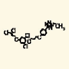 CCn1nnc(-c2ccc(OCCCOc3c(Cl)cc(OCC=C(Cl)Cl)cc3Cl)cc2)n1